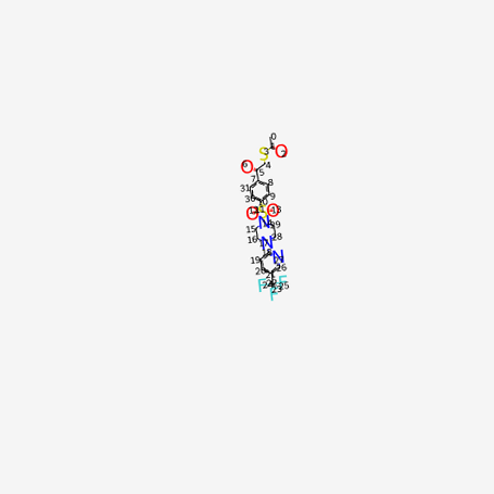 CC(=O)SCC(=O)c1ccc(S(=O)(=O)N2CCN(c3ccc(C(F)(F)F)cn3)CC2)cc1